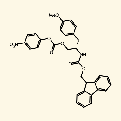 COc1ccc(C[C@@H](COC(=O)Oc2ccc([N+](=O)[O-])cc2)NC(=O)OCC2c3ccccc3-c3ccccc32)cc1